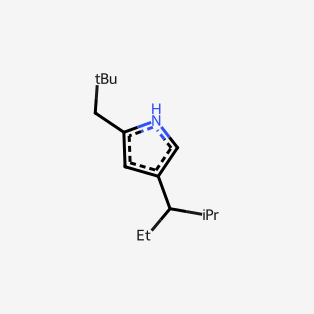 CCC(c1c[nH]c(CC(C)(C)C)c1)C(C)C